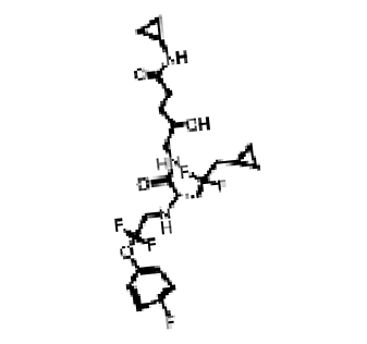 O=C(CCC(O)CNC(=O)[C@H](CC(F)(F)CC1CC1)NCC(F)(F)Oc1ccc(F)cc1)NC1CC1